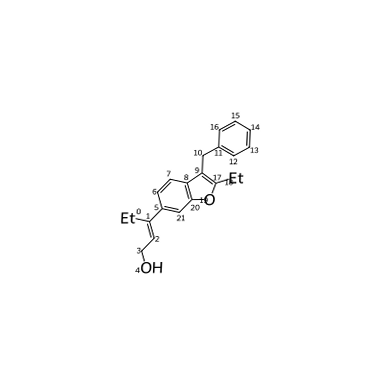 CCC(=CCO)c1ccc2c(Cc3ccccc3)c(CC)oc2c1